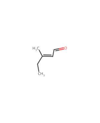 CCC(C)=C[C]=O